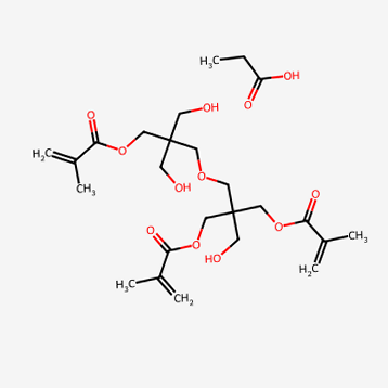 C=C(C)C(=O)OCC(CO)(CO)COCC(CO)(COC(=O)C(=C)C)COC(=O)C(=C)C.CCC(=O)O